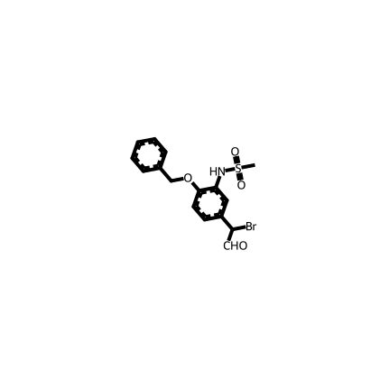 CS(=O)(=O)Nc1cc(C(Br)C=O)ccc1OCc1ccccc1